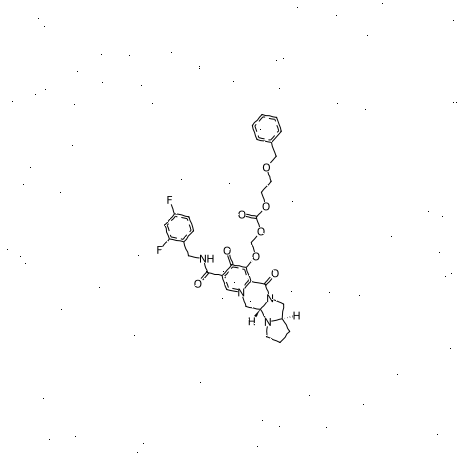 O=C(OCCOCc1ccccc1)OCOc1c2n(cc(C(=O)NCc3ccc(F)cc3F)c1=O)C[C@@H]1N(C[C@H]3CCCN31)C2=O